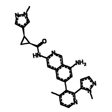 Cc1ccnc(-c2ccnn2C)c1-c1cc(N)c2cnc(NC(=O)[C@H]3C[C@H]3c3cnn(C)c3)cc2c1